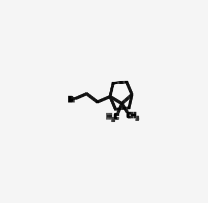 CC1(C)C2CCC1(CCBr)CC2